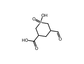 O=CC1CC(C(=O)O)CP(=O)(O)C1